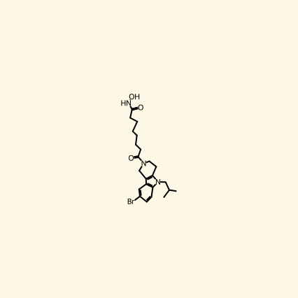 CC(C)Cn1c2c(c3cc(Br)ccc31)CN(C(=O)CCCCCCC(=O)NO)CC2